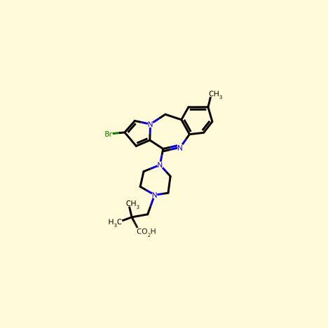 Cc1ccc2c(c1)Cn1cc(Br)cc1C(N1CCN(CC(C)(C)C(=O)O)CC1)=N2